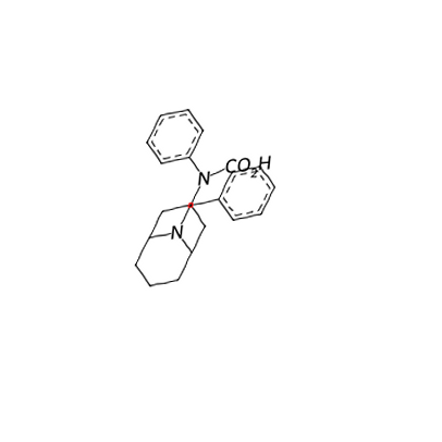 O=C(O)N(c1ccccc1)C1CC2CCCC(C1)N2Cc1ccccc1